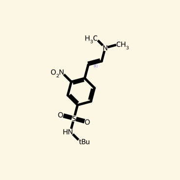 CN(C)/C=C/c1ccc(S(=O)(=O)NC(C)(C)C)cc1[N+](=O)[O-]